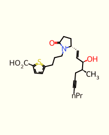 CCCC#CC[C@H](C)[C@H](O)C=C[C@H]1CCC(=O)N1CCCc1ccc(C(=O)O)s1